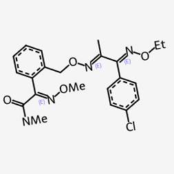 CCO/N=C(/C(C)=N/OCc1ccccc1/C(=N\OC)C(=O)NC)c1ccc(Cl)cc1